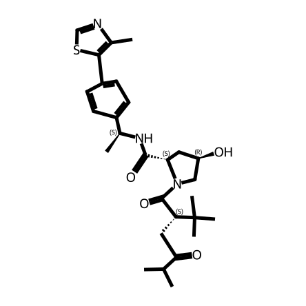 Cc1ncsc1-c1ccc([C@H](C)NC(=O)[C@@H]2C[C@@H](O)CN2C(=O)[C@@H](CC(=O)C(C)C)C(C)(C)C)cc1